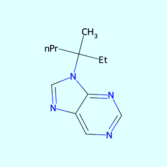 CCCC(C)(CC)n1cnc2cncnc21